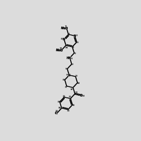 COc1ncc(CNCCN2CCC(C(=O)c3ccc(Cl)cc3)CC2)c(OC)n1